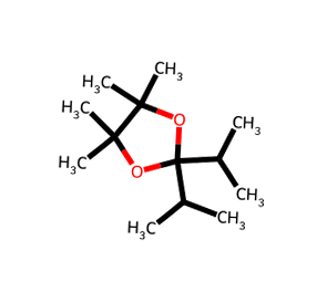 CC(C)C1(C(C)C)OC(C)(C)C(C)(C)O1